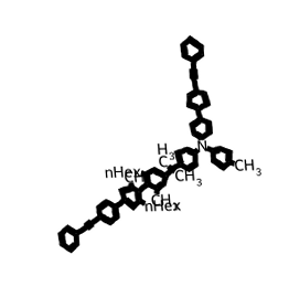 CCCCCCc1cc(-c2ccc(C#Cc3ccccc3)cc2)cc(C)c1-c1c(C)cc(C(C)(C)c2ccc(N(c3ccc(C)cc3)c3ccc(-c4ccc(C#Cc5ccccc5)cc4)cc3)cc2)cc1CCCCCC